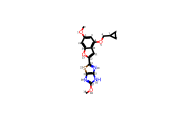 COc1cc(OCC2CC2)c2cc(-c3nc4[nH]c(OC)nc4s3)oc2c1